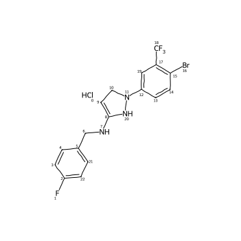 Cl.Fc1ccc(CNC2=CCN(c3ccc(Br)c(C(F)(F)F)c3)N2)cc1